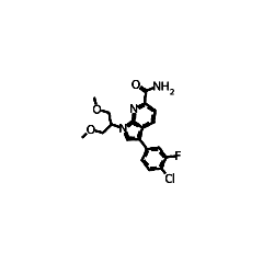 COCC(COC)n1cc(-c2ccc(Cl)c(F)c2)c2ccc(C(N)=O)nc21